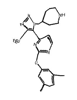 Cc1cc(C)cc(Oc2nccc(-c3c(C(C)(C)C)nnn3C3CCNCC3)n2)c1